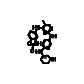 Cc1cnc(Nc2ccc(N[C@@H]3CCCNC3)nc2)nc1Nc1ccc2oc(=O)[nH]c2c1